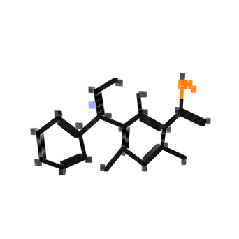 C=C(P)c1c(C)cc(C)c(/C(=C\C)c2ccccc2)c1C